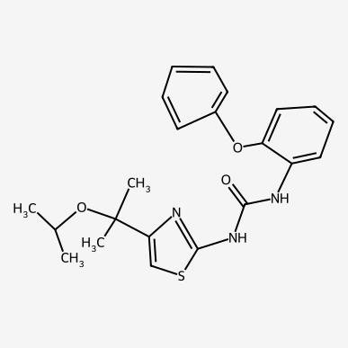 CC(C)OC(C)(C)c1csc(NC(=O)Nc2ccccc2Oc2ccccc2)n1